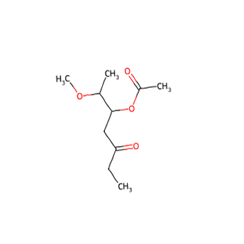 CCC(=O)CC(OC(C)=O)C(C)OC